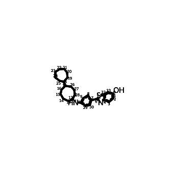 Oc1ccc2nc(-c3ccc(NC4CCCCC(C5CCCCCCC5)CCC4)cc3)sc2c1